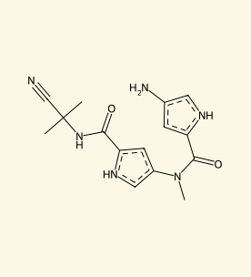 CN(C(=O)c1cc(N)c[nH]1)c1c[nH]c(C(=O)NC(C)(C)C#N)c1